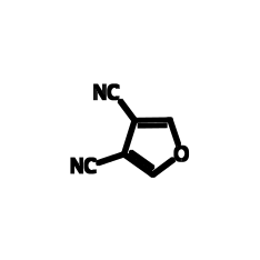 N#Cc1cocc1C#N